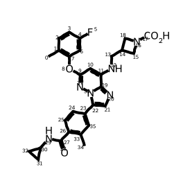 Cc1ccc(F)cc1Oc1cc(NCC2CN(C(=O)O)C2)c2ncc(-c3ccc(C(=O)NC4CC4)c(C)c3)n2n1